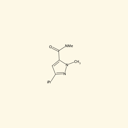 CNC(=O)c1cc(C(C)C)nn1C